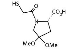 COC1(OC)C[C@@H](C(=O)O)N(C(=O)CS)C1